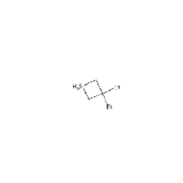 CCC1(CC)C[SiH2]C1